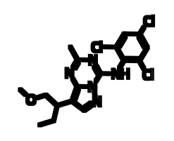 CCC(COC)c1cnn2c(Nc3c(Cl)cc(Cl)cc3Cl)nc(C)nc12